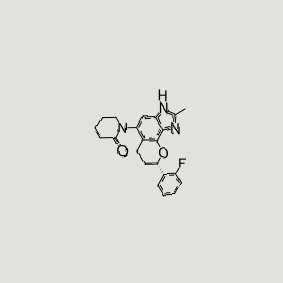 Cc1nc2c3c(c(N4CCCCC4=O)cc2[nH]1)CC[C@@H](c1ccccc1F)O3